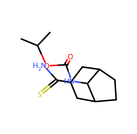 CC(C)OC(=O)NC1C2CCC1CC(C(N)=S)C2